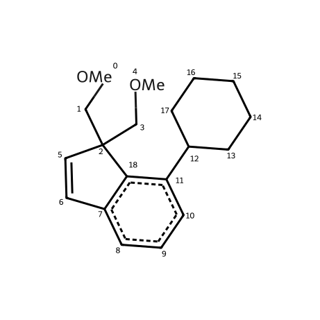 COCC1(COC)C=Cc2cccc(C3CCCCC3)c21